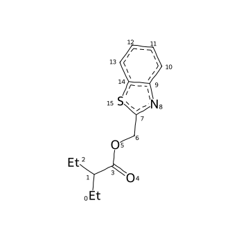 CCC(CC)C(=O)OCc1nc2ccccc2s1